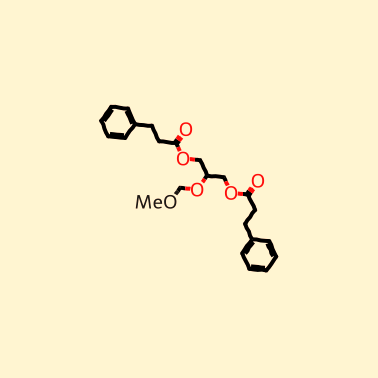 COCOC(COC(=O)CCc1ccccc1)COC(=O)CCc1ccccc1